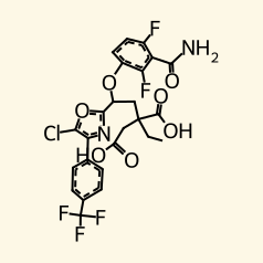 CCC(CC(=O)O)(CC(Oc1ccc(F)c(C(N)=O)c1F)c1nc(-c2ccc(C(F)(F)F)cc2)c(Cl)o1)C(=O)O